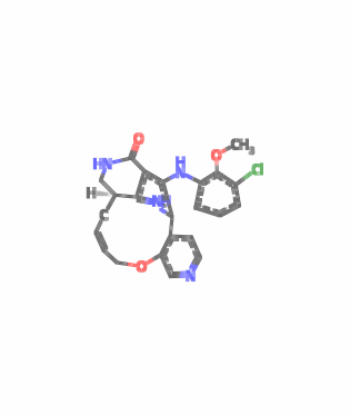 COc1c(Cl)cccc1Nc1c2[nH]c3c1C(=O)NC[C@@H]3C/C=C\COc1cnccc1-2